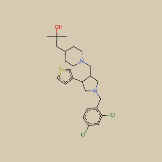 CC(C)(O)CC1CCN(CC2CN(Cc3ccc(Cl)cc3Cl)CC2c2ccsc2)CC1